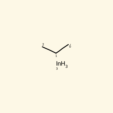 [CH2]CC.[InH3]